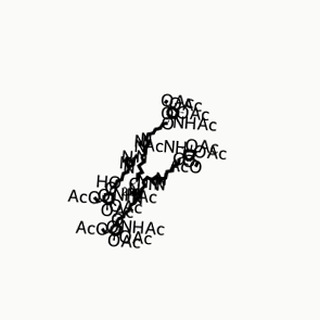 CC(=O)N[C@H]1[C@H](OCCCCCn2cc(CN(CCCC[C@@H](C(=O)O)N(Cc3cn(CCCCCOC4O[C@H](COC(C)=O)[C@H](OC(C)=O)[C@H](OC(C)=O)[C@H]4NC(C)=O)nn3)Cc3cn(CCCCCO[C@@H]4O[C@H](COC(C)=O)[C@H](OC(C)=O)[C@H](OC(C)=O)[C@H]4NC(C)=O)nn3)Cc3cn(CCCCCO[C@@H]4O[C@H](COC(C)=O)[C@H](OC(C)=O)[C@H](OC(C)=O)[C@H]4NC(C)=O)nn3)nn2)O[C@H](COC(C)=O)[C@H](OC(C)=O)[C@@H]1OC(C)=O